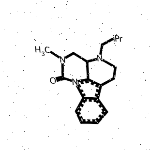 CC(C)CN1CCc2c3n(c4ccccc24)C(=O)N(C)CC31